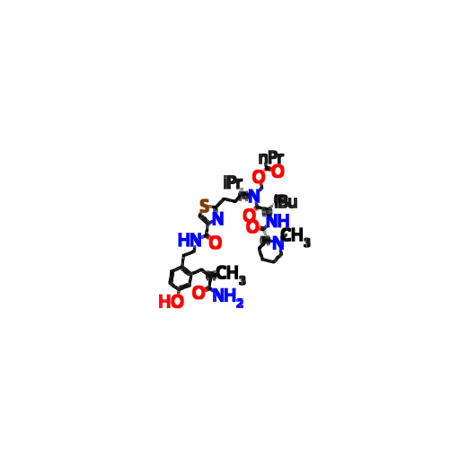 CCCC(=O)OCN(C(=O)[C@@H](NC(=O)[C@H]1CCCCN1C)[C@@H](C)CC)[C@H](CCc1nc(C(=O)NCCc2ccc(O)cc2C[C@@H](C)C(N)=O)cs1)C(C)C